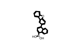 OB(O)c1ccc(-c2ccc3oc4ccccc4c3c2)c2ccccc12